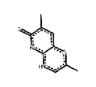 Cc1c[nH]c2nc(=S)c(C)cc-2n1